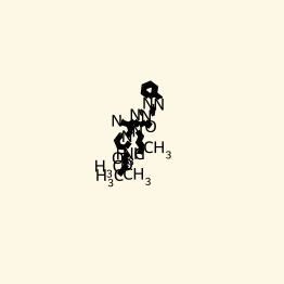 CC(C)=CCn1c(N2CCCC(NC(=O)OC(C)(C)C)C2)c(C#N)c2ncn(Cc3ncc4ccccc4n3)c(=O)c21